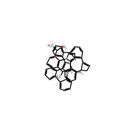 CC(C)c1cccc(C(C)C)c1-n1ccnc1-c1ccccc1C1CC=C1c1cccc2c1N1C(=C3c4ccccc4-c4ccccc4N3C1C)c1ccccc1-2